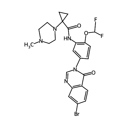 CN1CCN(C2(C(=O)Nc3cc(-n4cnc5cc(Br)ccc5c4=O)ccc3OC(F)F)CC2)CC1